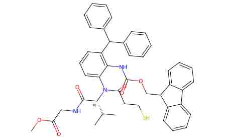 COC(=O)CNC(=O)[C@@H](C(C)C)N(C(=O)CCS)c1cccc(C(c2ccccc2)c2ccccc2)c1NC(=O)OCC1c2ccccc2-c2ccccc21